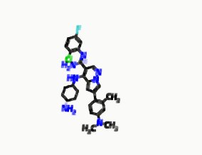 Cc1cc(N(C)C)ccc1-c1cc2c(N[C@H]3CC[C@H](N)CC3)c(/C(N)=N/c3cc(F)ccc3Cl)cnn2c1